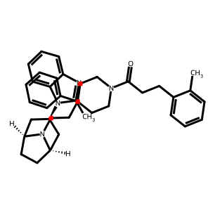 Cc1ccccc1CCC(=O)N1CCC(CCN2[C@@H]3CC[C@H]2C[C@@H](n2c(C)nc4ccccc42)C3)(c2ccccc2)CC1